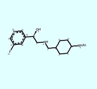 CC(=O)NC1CCC(CNC[C@H](O)c2cncc(F)c2)CC1